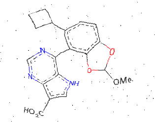 COC1Oc2ccc(C3CCC3)c(-c3ncnc4c(C(=O)O)c[nH]c34)c2O1